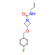 C=CCNC(=O)N1CC(OCc2ccc(F)cc2)C1